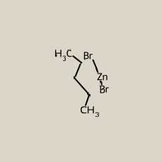 CCCCC.[Br][Zn][Br]